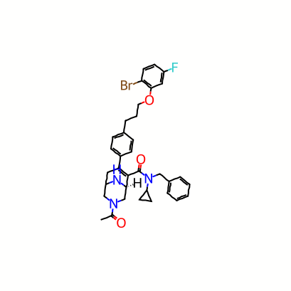 CC(=O)N1CC2CC(c3ccc(CCCOc4cc(F)ccc4Br)cc3)=C(C(=O)N(Cc3ccccc3)C3CC3)[C@@H](C1)N2